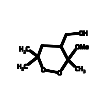 COC1(C)OOC(C)(C)CC1CO